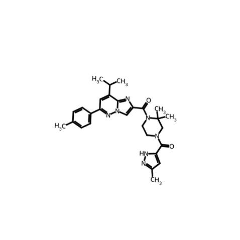 Cc1ccc(-c2cc(C(C)C)c3nc(C(=O)N4CCN(C(=O)c5cc(C)n[nH]5)CC4(C)C)cn3n2)cc1